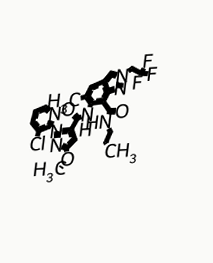 CCCNC(=O)c1c(NC(=O)c2cc(OC)nn2-c2ncccc2Cl)c(C)cc2cn(CC(F)(F)F)nc12